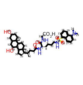 C[C@H](CCC(=O)N[C@@H](CCCCNS(=O)(=O)c1cccc2c(N(C)C)cccc12)C(=O)NCC(=O)O)[C@H]1CCC2C3C(CC[C@@]21C)[C@@]1(C)CC[C@@H](O)CC1C[C@@H]3O